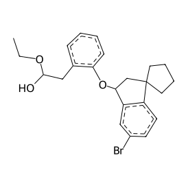 CCOC(O)Cc1ccccc1OC1CC2(CCCC2)c2ccc(Br)cc21